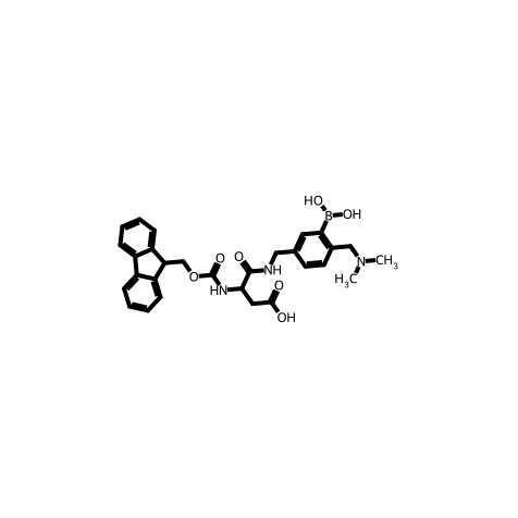 CN(C)Cc1ccc(CNC(=O)C(CC(=O)O)NC(=O)OCC2c3ccccc3-c3ccccc32)cc1B(O)O